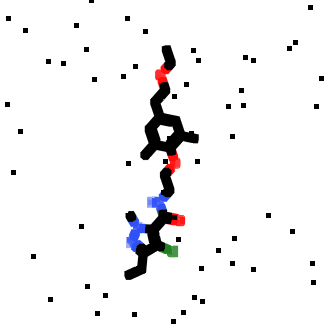 CCOCCc1cc(C)c(OCCNC(=O)c2c(Cl)c(CC)nn2C)c(C)c1